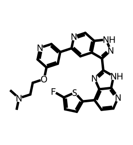 CN(C)CCOc1cncc(-c2cc3c(-c4nc5c(-c6ccc(F)s6)ccnc5[nH]4)n[nH]c3cn2)c1